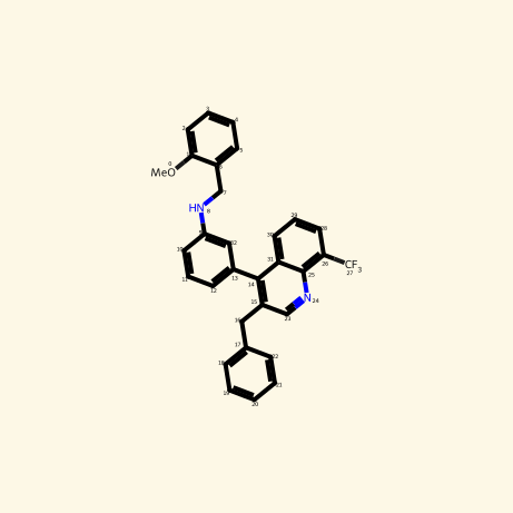 COc1ccccc1CNc1cccc(-c2c(Cc3ccccc3)cnc3c(C(F)(F)F)cccc23)c1